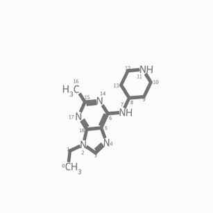 CCn1cnc2c(NC3CCNCC3)nc(C)nc21